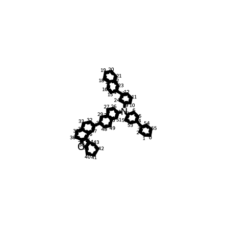 c1ccc(-c2ccc(N(c3cccc(-c4ccc5ccccc5c4)c3)c3ccc4cc(-c5ccc6ccc7oc8ccccc8c7c6c5)ccc4c3)cc2)cc1